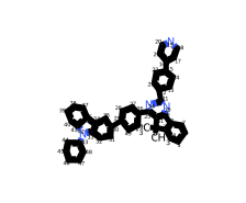 CC1(C)c2ccccc2-c2nc(-c3ccc(-c4ccncc4)cc3)nc(-c3ccc(-c4ccc5c(c4)c4ccccc4n5-c4ccccc4)cc3)c21